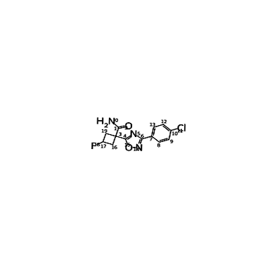 NC(=O)C1(c2nc(-c3ccc(Cl)cc3)no2)CC(F)C1